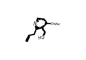 C=CCc1nccc(OC)c1CO